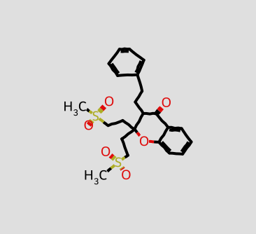 CS(=O)(=O)CCC1(CCS(C)(=O)=O)Oc2ccccc2C(=O)C1CCc1ccccc1